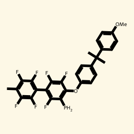 COc1ccc(C(C)(C)c2ccc(Oc3c(F)c(F)c(-c4c(F)c(F)c(C)c(F)c4F)c(F)c3P)cc2)cc1